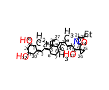 C=C1/C(=C\C=C2/CCC[C@]3(C)[C@@H]([C@@H](C)/C=C/[C@@H](O)C4(c5ncc(CC)o5)CC4)CC[C@@H]23)C[C@@H](O)C[C@@H]1O